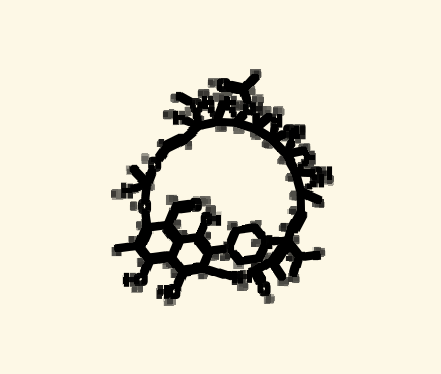 CO[C@H]1/C=C/O[C@@H](C)Oc2c(C)c(O)c3c(O)c(c(N4CCN(CC(C)C)CC4)c(O)c3c2C=O)NC(=O)/C(C)=C\C=C\[C@H](C)[C@H](O)[C@@H](C)[C@@H](O)[C@@H](C)[C@H](OC(C)=O)[C@@H]1C